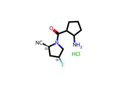 Cl.N#C[C@@H]1C[C@H](F)CN1C(=O)C1CCCC1N